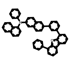 c1ccc(-c2cccc3c2oc2c(-c4cccc(-c5ccc6cc(N(c7ccccc7)c7cccc8ccccc78)ccc6c5)c4)cccc23)cc1